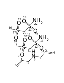 C=CCNCC=C.CS(=O)(=O)CS(N)(=O)=O.CS(=O)(=O)CS(N)(=O)=O